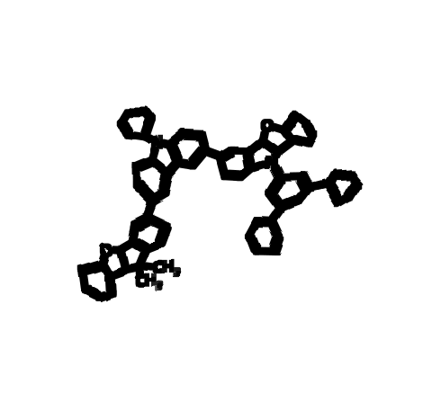 CC1(C)c2ccc(-c3ccc4c(c3)c3cc(-c5ccc6c(c5)C5Oc7ccccc7C5N6c5cc(-c6ccccc6)cc(-c6ccccc6)c5)ccc3n4-c3ccccc3)cc2C2Oc3ccccc3C21